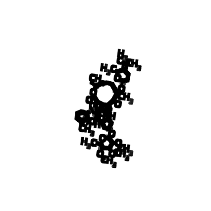 CC[C@H]1CCC[C@H](O[C@H]2CC[C@H](N(C)C)C(C)O2)[C@@H](C)C(=O)C2=C[C@H]3[C@@H]4C[C@H](O[C@@H]5OC(C)[C@H](OC)C(OC)C5OC)C[C@H]4[C@@H](O)[C@H](Nc4cccc(C)c4)[C@H]3[C@@H]2CC(=O)O1